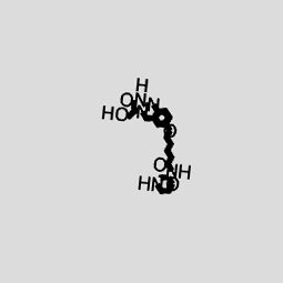 O=C(CCCCOc1ccc2c(c1)CN1C(=N2)NC(=O)C1CO)NC1CNCCO1